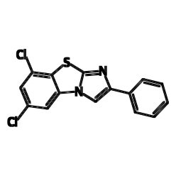 Clc1cc(Cl)c2sc3nc(-c4ccccc4)cn3c2c1